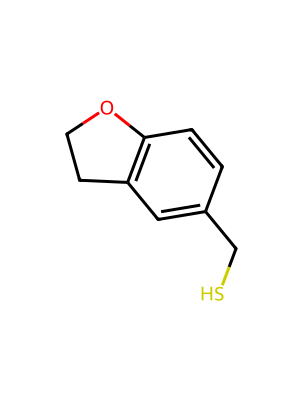 SCc1ccc2c(c1)CCO2